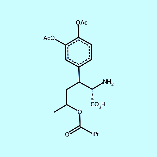 CC(=O)Oc1ccc(C(CC(C)OC(=O)C(C)C)[C@H](N)C(=O)O)cc1OC(C)=O